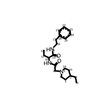 CCC1CCN(CC(=O)NC(CC)C(=O)NCCc2ccccc2)CC1